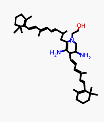 CC1=C(/C=C/C(C)=C/C=C/C(C)CC2=C(N)C(/C=C/C=C(C)/C=C/C3=C(C)CCCC3(C)C)C(N)CN2CCO)C(C)(C)CCC1